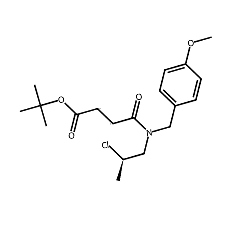 COc1ccc(CN(C[C@@H](C)Cl)C(=O)[CH][CH]C(=O)OC(C)(C)C)cc1